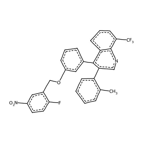 Cc1ccccc1-c1cnc2c(C(F)(F)F)cccc2c1-c1cccc(OCc2cc([N+](=O)[O-])ccc2F)c1